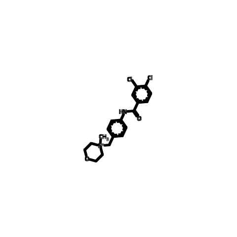 C[N+]1(Cc2ccc(NC(=O)c3ccc(Cl)c(Cl)c3)cc2)CCOCC1